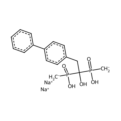 [CH2-]P(=O)(O)C(O)(Cc1ccc(-c2ccccc2)cc1)P([CH2-])(=O)O.[Na+].[Na+]